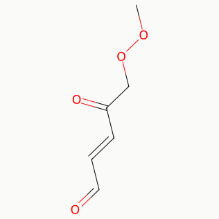 COOCC(=O)C=CC=O